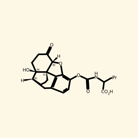 CC(C)C(NC(=O)Oc1ccc2c3c1O[C@H]1C(=O)CC[C@@]4(O)[C@H](CCC[C@]314)C2)C(=O)O